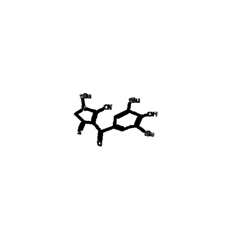 CCCCN1CC(=S)C(C(=O)c2cc(C(C)(C)C)c(O)c(C(C)(C)C)c2)=C1C#N